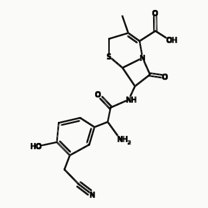 CC1=C(C(=O)O)N2C(=O)C(NC(=O)C(N)c3ccc(O)c(CC#N)c3)C2SC1